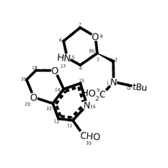 CC(C)(C)N(C[C@H]1CNCCO1)C(=O)O.O=Cc1cc2c(cn1)OCCO2